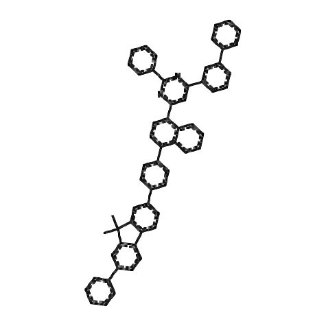 CC1(C)c2cc(-c3ccccc3)ccc2-c2ccc(-c3ccc(-c4ccc(-c5cc(-c6cccc(-c7ccccc7)c6)nc(-c6ccccc6)n5)c5ccccc45)cc3)cc21